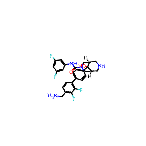 NCc1ccc(-c2ccc([C@]3(O)[C@@H]4CNC[C@H]3CN(C(=O)Nc3cc(F)cc(F)c3)C4)cc2)c(F)c1F